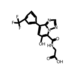 O=C(O)CNC(=O)c1c(O)cc(-c2cccc(C(F)(F)F)c2)c2ncnn12